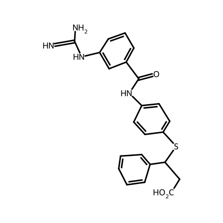 N=C(N)Nc1cccc(C(=O)Nc2ccc(SC(CC(=O)O)c3ccccc3)cc2)c1